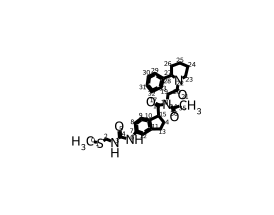 CSCNC(=O)Nc1ccc2c(c1)CCC2C(=O)N(CC(=O)N1CCCCC1c1ccccc1)C(C)=O